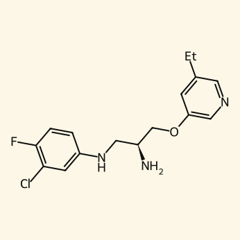 CCc1cncc(OC[C@@H](N)CNc2ccc(F)c(Cl)c2)c1